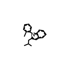 Cc1ccccc1-n1c(CC(C)C)cc2ccccc21